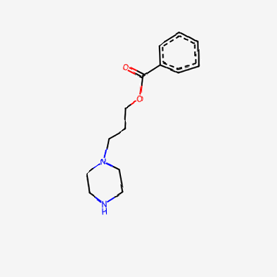 O=C(OCCCN1CCNCC1)c1ccccc1